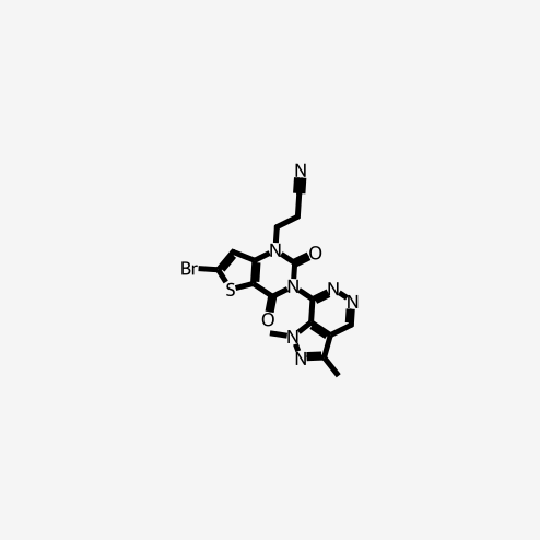 Cc1nn(C)c2c(-n3c(=O)c4sc(Br)cc4n(CCC#N)c3=O)nncc12